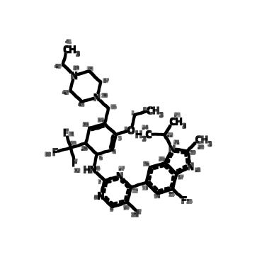 CCOC1=CC(Nc2ncc(F)c(-c3cc(F)c4nc(C)n(C(C)C)c4c3)n2)C(C(F)(F)F)C=C1CN1CCN(CC)CC1